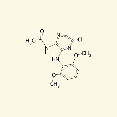 COc1cccc(OC)c1Nc1nc(Cl)cnc1NC(C)=O